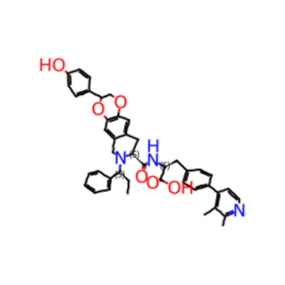 CC[C@@H](c1ccccc1)N1Cc2cc3c(cc2C[C@H]1C(=O)N[C@@H](Cc1ccc(-c2ccnc(C)c2C)cc1)C(=O)O)OCC(c1ccc(O)cc1)O3